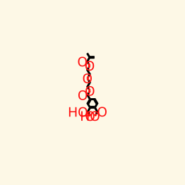 C=C(C)C(=O)OCCOCCOC(=O)c1ccc(C(=O)O)c(C(=O)O)c1